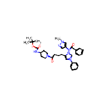 Cn1cc(N(C(=O)c2ccccc2)N2CN(c3ccccc3)C=C2CCCC(=O)N2CCC(NC(=O)OC(C)(C)C)CC2)cn1